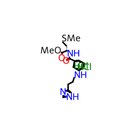 COC(=O)[C@H](CCSC)NC(=O)c1cccc(NCCCc2c[nH]cn2)c1.Cl.Cl